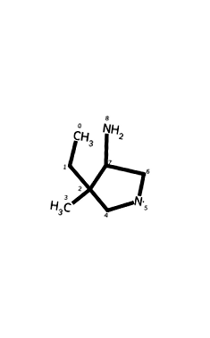 CCC1(C)C[N]CC1N